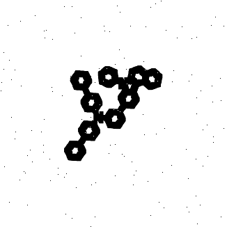 c1ccc(-c2ccc(N(c3ccc(-c4ccccc4)cc3)c3cccc(-c4ccc5c6c7ccccc7ccc6n(-c6ccccc6)c5c4)c3)cc2)cc1